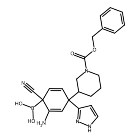 N#CC1(B(O)O)C=CC(c2cc[nH]n2)(C2CCCN(C(=O)OCc3ccccc3)C2)C=C1N